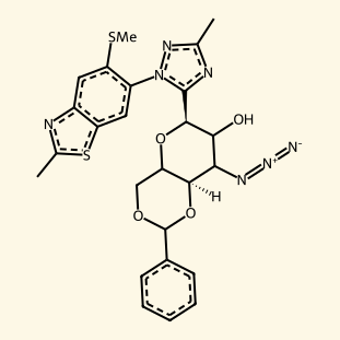 CSc1cc2nc(C)sc2cc1-n1nc(C)nc1[C@@H]1OC2COC(c3ccccc3)O[C@@H]2C(N=[N+]=[N-])C1O